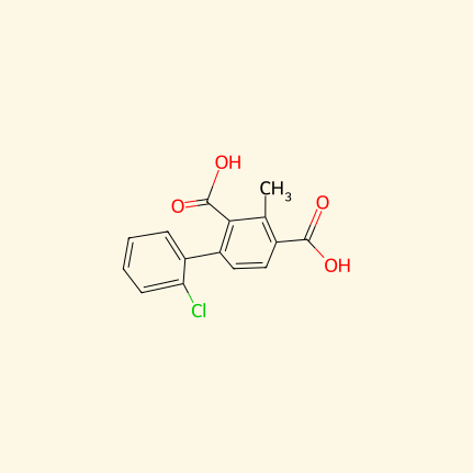 Cc1c(C(=O)O)ccc(-c2ccccc2Cl)c1C(=O)O